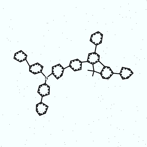 CC1(C)c2ccc(-c3ccccc3)cc2-c2cc(-c3ccccc3)cc(-c3ccc(-c4ccc(N(c5ccc(-c6ccccc6)cc5)c5ccc(-c6ccccc6)cc5)cc4)cc3)c21